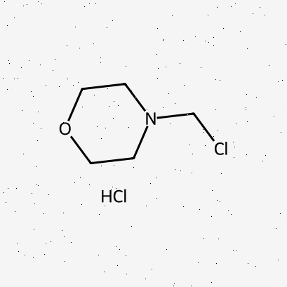 Cl.ClCN1CCOCC1